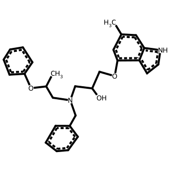 Cc1cc(OCC(O)CN(Cc2ccccc2)CC(C)Oc2ccccc2)c2cc[nH]c2c1